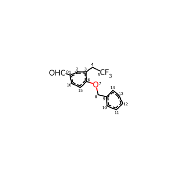 O=Cc1[c]c(CC(F)(F)F)c(OCc2ccccc2)cc1